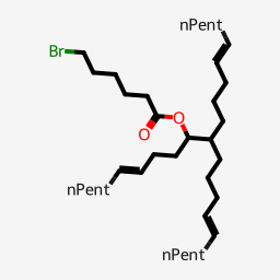 CCCCCC=CCCCC(CCCC=CCCCCC)C(CCC=CCCCCC)OC(=O)CCCCCBr